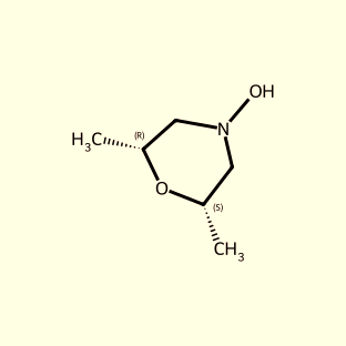 C[C@@H]1CN(O)C[C@H](C)O1